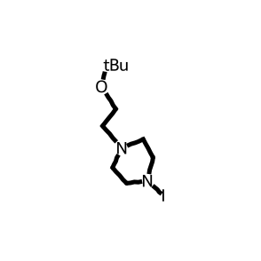 CC(C)(C)OCCN1CCN(I)CC1